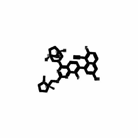 C#Cc1c(F)ccc2cc(O)cc(-c3ccc4c(N5C[C@H]6CC[C@@H](C5)N6)nc(OC[C@@]5(C)CCCN5C)nc4c3F)c12